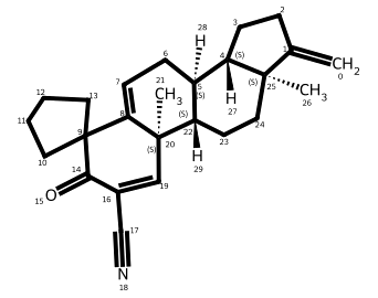 C=C1CC[C@H]2[C@@H]3CC=C4C5(CCCC5)C(=O)C(C#N)=C[C@]4(C)[C@H]3CC[C@]12C